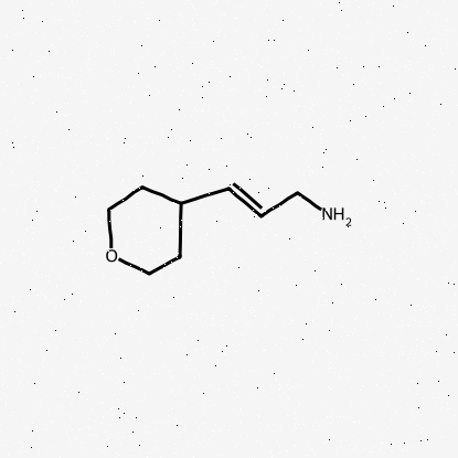 NCC=CC1CCOCC1